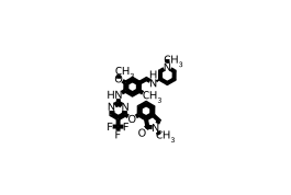 COc1cc(CN[C@@H]2CCCN(C)C2)c(C)cc1Nc1ncc(C(F)(F)F)c(Oc2cccc3c2C(=O)N(C)C3)n1